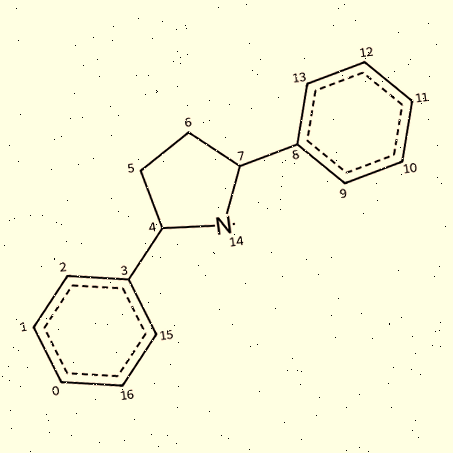 c1ccc(C2CCC(c3ccccc3)[N]2)cc1